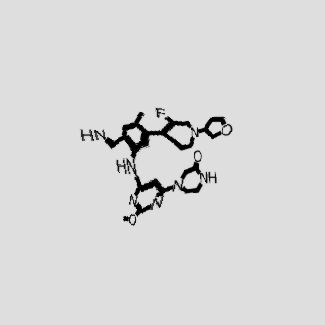 COc1nc(Nc2cc(C3CCN(C4CCOC4)CC3F)c(C)cc2C=N)cc(N2CCNC(=O)C2)n1